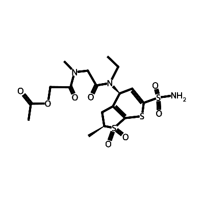 CCN(C(=O)CN(C)C(=O)COC(C)=O)[C@H]1C=C(S(N)(=O)=O)SC2=C1C[C@H](C)S2(=O)=O